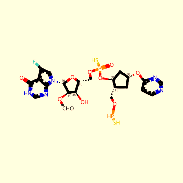 O=CO[C@@H]1[C@H](O)[C@@H](COP(=O)(S)O[C@H]2C[C@H](Oc3ccncn3)C[C@@H]2COPS)O[C@H]1n1cc(F)c2c(=O)[nH]cnc21